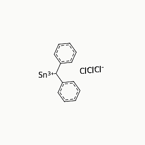 [Cl-].[Cl-].[Cl-].[Sn+3][CH](c1ccccc1)c1ccccc1